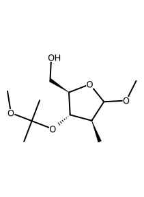 COC1O[C@H](CO)[C@@H](OC(C)(C)OC)[C@@H]1C